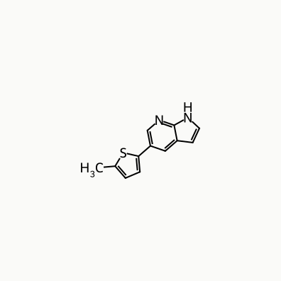 Cc1ccc(-c2cnc3[nH]ccc3c2)s1